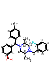 CC(=O)c1ccc(C(c2cccc(O)c2)N2C[C@@H](C)N(Cc3ccccc3F)C[C@@H]2C)cc1